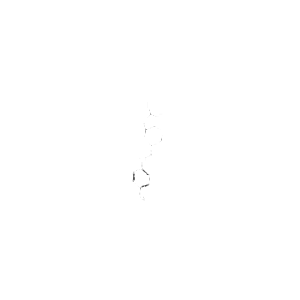 C[C@]1(CC(F)F)COC[C@@H](COc2ccc(Br)cc2)O1